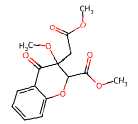 COC(=O)CC1(OC)C(=O)c2ccccc2OC1C(=O)OC